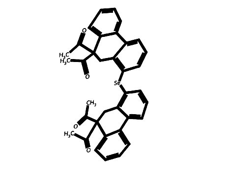 CC(=O)C1(C(C)=O)Cc2c([Se]c3cccc4c3CC(C(C)=O)(C(C)=O)c3ccccc3-4)cccc2-c2ccccc21